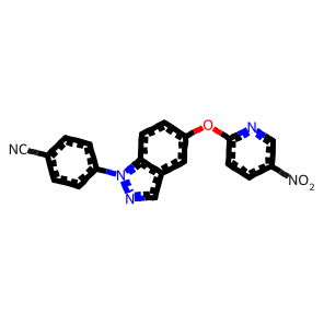 N#Cc1ccc(-n2ncc3cc(Oc4ccc([N+](=O)[O-])cn4)ccc32)cc1